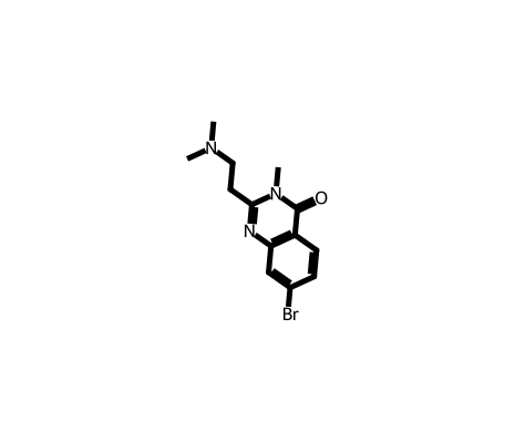 CN(C)CCc1nc2cc(Br)ccc2c(=O)n1C